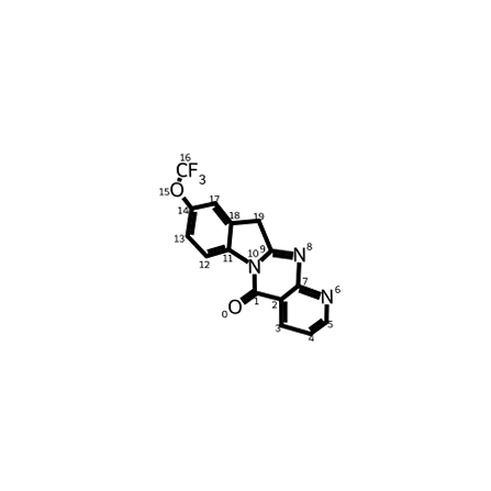 O=c1c2cccnc2nc2n1-c1ccc(OC(F)(F)F)cc1C2